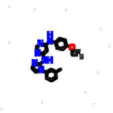 Cc1cccc(-n2ccnc2Nc2cc(Nc3ccc(OC(F)(F)F)cc3)ncn2)c1